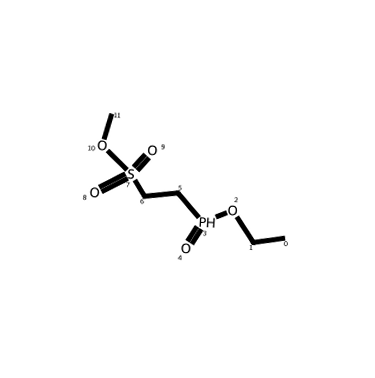 CCO[PH](=O)CCS(=O)(=O)OC